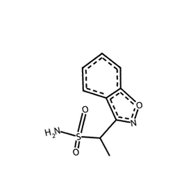 CC(c1noc2ccccc12)S(N)(=O)=O